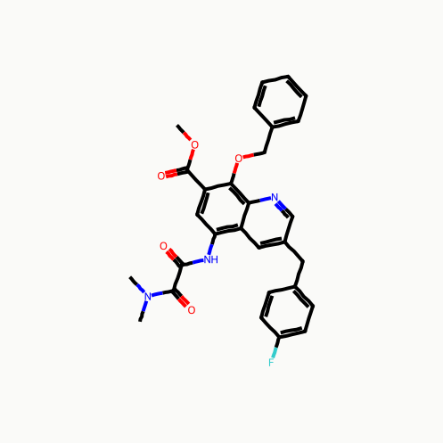 COC(=O)c1cc(NC(=O)C(=O)N(C)C)c2cc(Cc3ccc(F)cc3)cnc2c1OCc1ccccc1